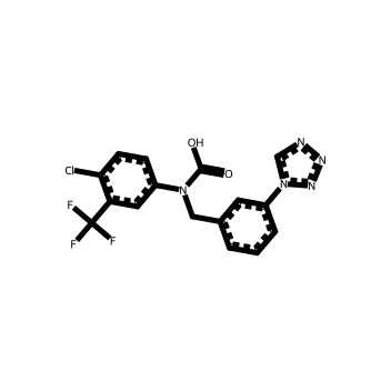 O=C(O)N(Cc1cccc(-n2cnnn2)c1)c1ccc(Cl)c(C(F)(F)F)c1